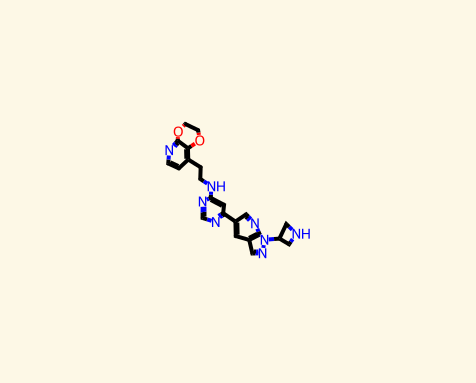 c1nc(NCCc2ccnc3c2OCCO3)cc(-c2cnc3c(cnn3C3CNC3)c2)n1